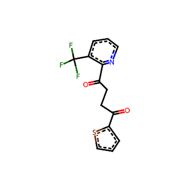 O=C(CCC(=O)c1ncccc1C(F)(F)F)c1cccs1